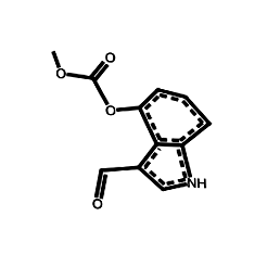 COC(=O)Oc1cccc2[nH]cc(C=O)c12